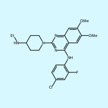 CCNC1CCN(c2nc(Nc3ccc(Cl)cc3F)c3cc(OC)c(OC)cc3n2)CC1